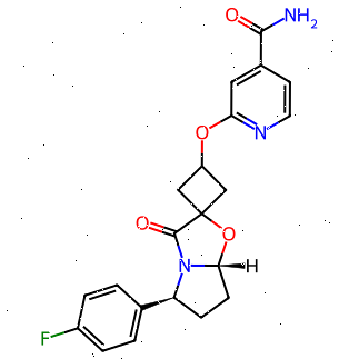 NC(=O)c1ccnc(OC2CC3(C2)O[C@@H]2CC[C@@H](c4ccc(F)cc4)N2C3=O)c1